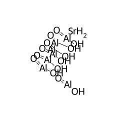 [O]=[Al][OH].[O]=[Al][OH].[O]=[Al][OH].[O]=[Al][OH].[O]=[Al][OH].[O]=[Al][OH].[O]=[Al][OH].[SrH2]